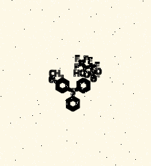 COc1ccc([S+](c2ccccc2)c2ccccc2)cc1.O=S(=O)([O-])C(F)(F)C(O)C(F)(F)F